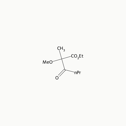 CCCC(=O)C(C)(OC)C(=O)OCC